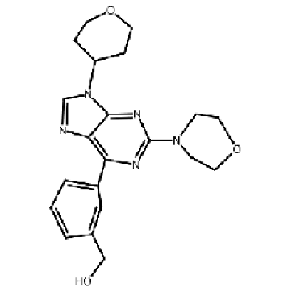 OCc1cccc(-c2nc(N3CCOCC3)nc3c2ncn3C2CCOCC2)c1